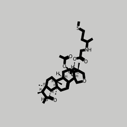 CSCCC(C)NCC(=O)O[C@H]1[C@H](OC(C)=O)C[C@@]23COC[C@]1(C)[C@@H]2CC[C@H]1C3=CC[C@@]2(C)[C@H](C(=O)O)[C@@](C)([C@H](C)C(C)C)CC[C@]12C